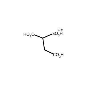 F.O=C(O)CC(C(=O)O)S(=O)(=O)O